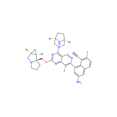 C#Cc1c(F)ccc2cc(N)cc(-c3ncc4c(N5C[C@H]6CC[C@@H](C5)N6)nc(OC[C@@]56CCCN5C[C@H]5C[C@H]56)nc4c3F)c12